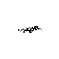 COC(=O)c1cc(-c2cnn3cc(-c4cnn(C)c4)cnc23)c(Cl)s1